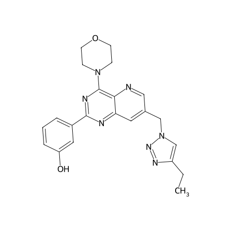 CCc1cn(Cc2cnc3c(N4CCOCC4)nc(-c4cccc(O)c4)nc3c2)nn1